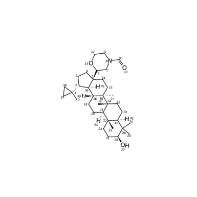 CC1([C@@H]2CC[C@]3(C4CN(C=O)CCO4)CC[C@]4(C)[C@H](CC[C@@H]5[C@@]6(C)CC[C@H](O)C(C)(C)[C@@H]6CC[C@]54C)[C@@H]23)CC1